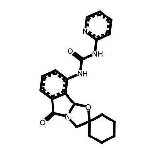 O=C(Nc1ccccn1)Nc1cccc2c1C1OC3(CCCCC3)CN1C2=O